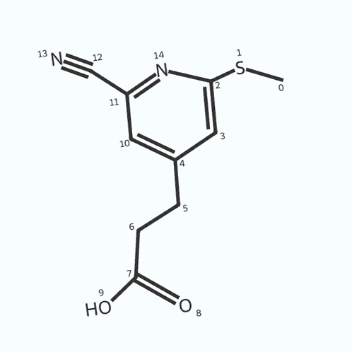 CSc1cc(CCC(=O)O)cc(C#N)n1